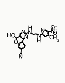 Cc1cc(NCCNc2ncc(C(=O)O)c(-c3ccc(C#N)cc3)n2)ncc1[N+](=O)[O-]